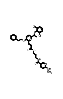 CC(Sc1c(Cl)cccc1Cl)c1ccc(OCCc2ccccc2)c(C=CC(=O)NCCCNC(=O)c2ccc(NN)nc2)n1